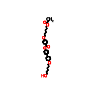 C=CC(=O)OCCCCCCOc1ccc(C(=O)Oc2ccc(C3CCC(OCCCCCCO)CC3)cc2)cc1